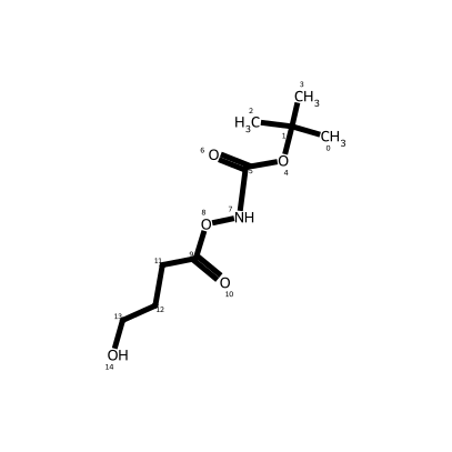 CC(C)(C)OC(=O)NOC(=O)CCCO